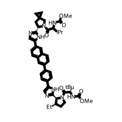 CC[C@@H]1CCN(C(=O)[C@@H](NC(=O)OC)C(C)(C)C)[C@@H]1c1ncc(-c2ccc(-c3ccc4cc(-c5cnc([C@@H]6CC7(CC7)CN6C(=O)C(NC(=O)OC)C(C)C)[nH]5)ccc4c3)cc2)[nH]1